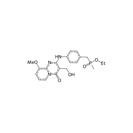 CCOP(C)(=O)Cc1ccc(Nc2nc3c(OC)cccn3c(=O)c2CO)cc1